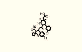 CCC1(N(C(CC(C)C2NC(=O)C(C)(CC(=O)O)CC2c2cccc(Cl)c2)c2ccc(Cl)cc2)[SH](=O)=O)CCC1